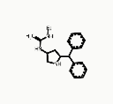 C=C(NCC)NC1CNC(C(c2ccccc2)c2ccccc2)C1